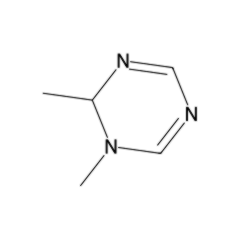 CC1N=CN=CN1C